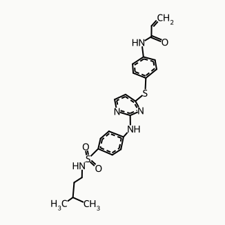 C=CC(=O)Nc1ccc(Sc2ccnc(Nc3ccc(S(=O)(=O)NCCC(C)C)cc3)n2)cc1